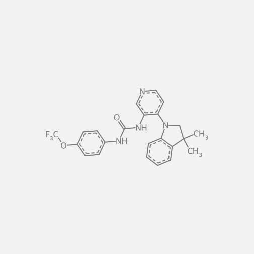 CC1(C)CN(c2ccncc2NC(=O)Nc2ccc(OC(F)(F)F)cc2)c2ccccc21